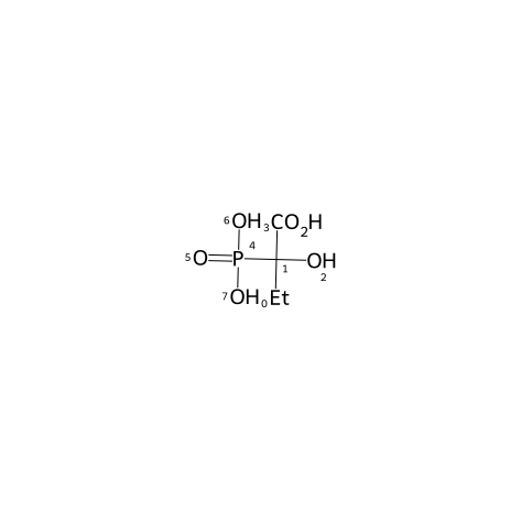 CCC(O)(C(=O)O)P(=O)(O)O